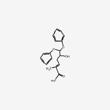 CC(=CCC(O)C(Oc1ccccc1)Oc1ccccc1)C(=O)O